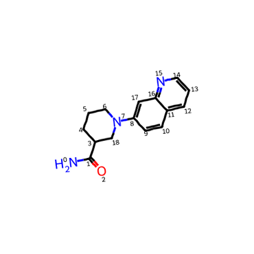 NC(=O)C1CCCN(c2ccc3cccnc3c2)C1